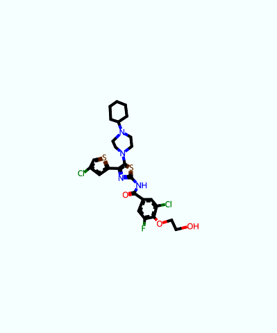 O=C(Nc1nc(-c2cc(Cl)cs2)c(N2CCN(C3CCCCC3)CC2)s1)c1cc(F)c(OCCO)c(Cl)c1